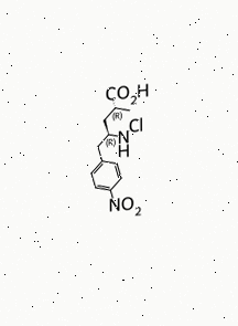 C[C@H](C[C@H](Cc1ccc([N+](=O)[O-])cc1)NCl)C(=O)O